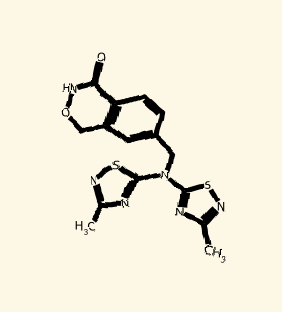 Cc1nsc(N(Cc2ccc3c(c2)CONC3=O)c2nc(C)ns2)n1